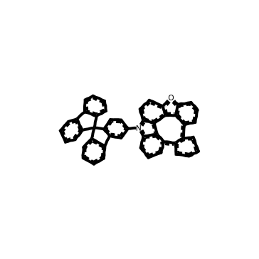 c1ccc2c(c1)-c1ccccc1C21c2ccccc2-c2cc(-n3c4cccc5c6ccccc6c6cccc7oc8ccc3c(c8c76)c54)ccc21